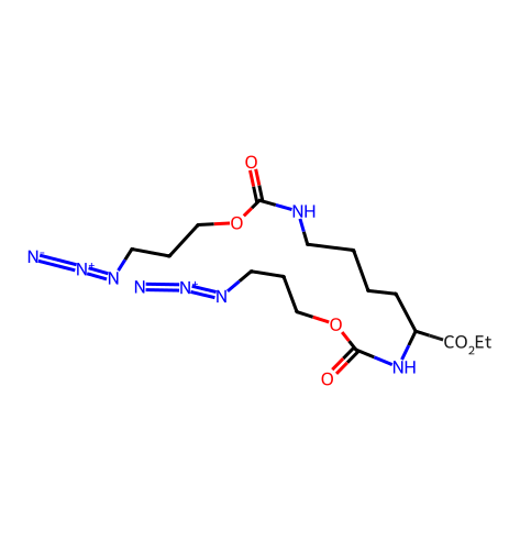 CCOC(=O)C(CCCCNC(=O)OCCCN=[N+]=[N-])NC(=O)OCCCN=[N+]=[N-]